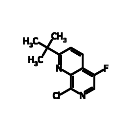 CC(C)(C)c1ccc2c(F)cnc(Cl)c2n1